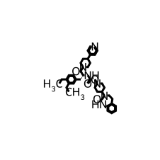 CCc1ccc(C[C@@H](NC(=O)ON2CCC(N3CCc4ccccc4NC3=O)CC2)C(=O)N2CCC(c3ccncc3)CC2)cc1CC